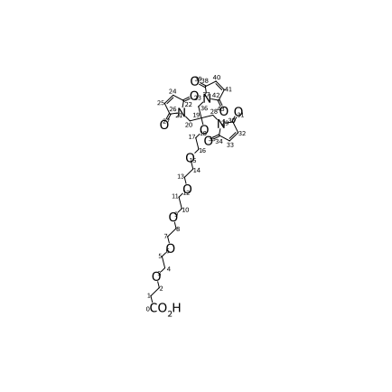 O=C(O)CCOCCOCCOCCOCCOCCOC(CN1C(=O)C=CC1=O)(CN1C(=O)C=CC1=O)CN1C(=O)C=CC1=O